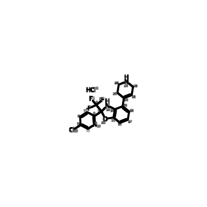 Cl.FC(F)(F)C1(c2ccc(Cl)cn2)Nc2c(cccc2C2=CCNCC2)O1